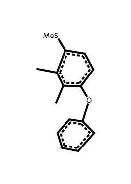 CSc1ccc(Oc2cc[c]cc2)c(C)c1C